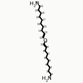 NCCCCCCCCC=COC=CCCCCCCCCN